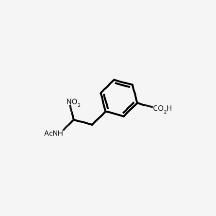 CC(=O)NC(Cc1cccc(C(=O)O)c1)[N+](=O)[O-]